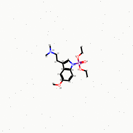 CCOP(=O)(OCC)n1cc(CCN(C)C)c2cc(OC)ccc21